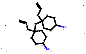 C=CCC1(CC2(CC=C)CCC(N)CC2)CCC(N)CC1